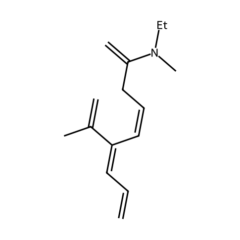 C=C/C=C(\C=C/CC(=C)N(C)CC)C(=C)C